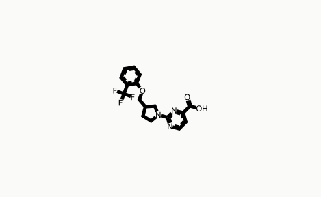 O=C(O)c1ccnc(N2CCC(COc3ccccc3C(F)(F)F)C2)n1